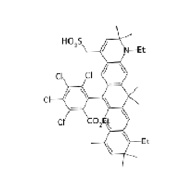 CCOC(=O)c1c(Cl)c(Cl)c(Cl)c(Cl)c1C1=c2cc3c(cc2C(C)(C)c2cc4c(cc21)C(CS(=O)(=O)O)=CC(C)(C)N4CC)=C(CC)C(C)(C)C=C3C